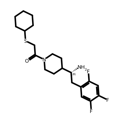 N[C@H](Cc1cc(F)c(F)cc1F)C1CCN(C(=O)CSC2CCCCC2)CC1